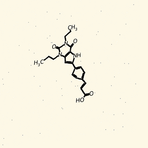 CCCn1c(=O)c2[nH]c(-c3ccc(C=CC(=O)O)cc3)cc2n(CCC)c1=O